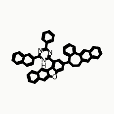 c1ccc(C2=NC(c3ccc4ccccc4c3)NC(c3cc(C4CCc5cc6ccccc6cc5-c5ccccc54)cc4oc5cc6ccccc6cc5c34)=N2)cc1